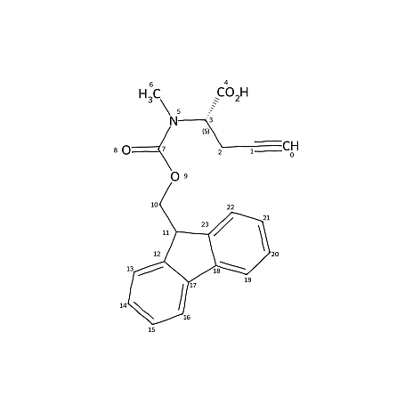 C#CC[C@@H](C(=O)O)N(C)C(=O)OCC1c2ccccc2-c2ccccc21